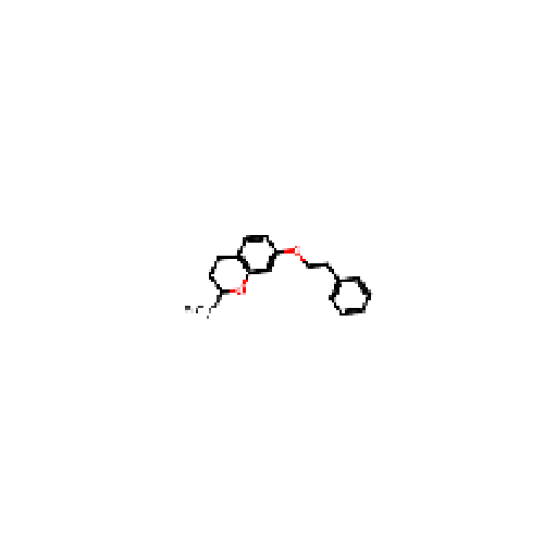 CCOC(=O)C1CCc2ccc(OCCc3ccccc3)cc2O1